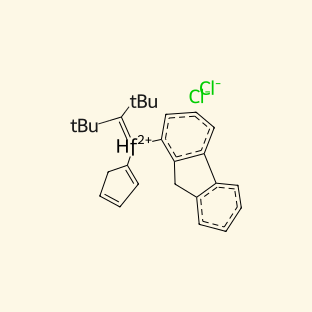 CC(C)(C)[C](=[Hf+2]([C]1=CC=CC1)[c]1cccc2c1Cc1ccccc1-2)C(C)(C)C.[Cl-].[Cl-]